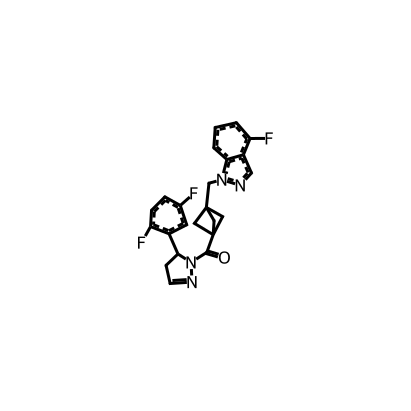 O=C(N1N=CCC1c1cc(F)ccc1F)C12CC(Cn3ncc4c(F)cccc43)(C1)C2